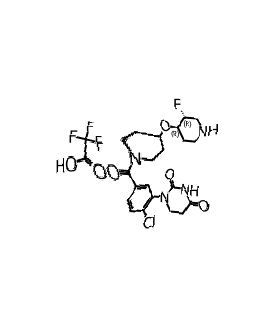 O=C(O)C(F)(F)F.O=C1CCN(c2cc(C(=O)N3CCC(O[C@@H]4CCNC[C@H]4F)CC3)ccc2Cl)C(=O)N1